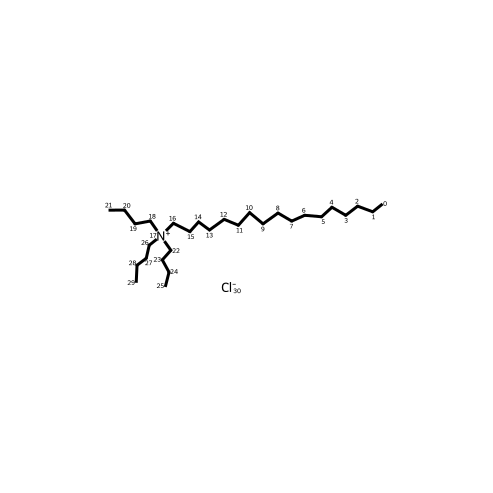 CCCCCCCCCCCCCCCCC[N+](CCCC)(CCCC)CCCC.[Cl-]